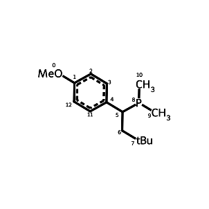 COc1ccc(C(CC(C)(C)C)P(C)C)cc1